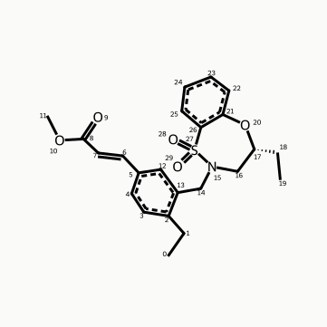 CCc1ccc(/C=C/C(=O)OC)cc1CN1C[C@@H](CC)Oc2ccccc2S1(=O)=O